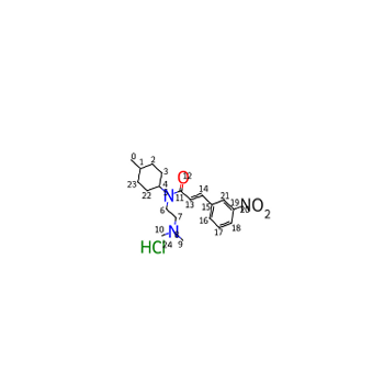 CC1CCC(N(CCN(C)C)C(=O)C=Cc2cccc([N+](=O)[O-])c2)CC1.Cl